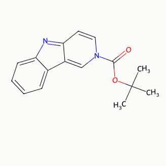 CC(C)(C)OC(=O)n1ccc2nc3ccccc3c-2c1